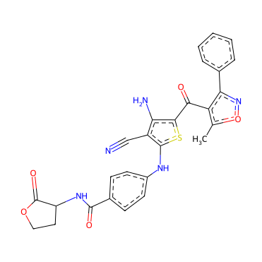 Cc1onc(-c2ccccc2)c1C(=O)c1sc(Nc2ccc(C(=O)NC3CCOC3=O)cc2)c(C#N)c1N